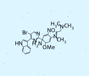 COC1C=C(N(C)CCN(C)C)C([N+](=O)[O-])=CC1(N)c1ncc(Br)c(-c2c[nH]c3ccccc23)n1